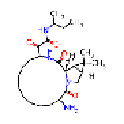 CCC(C)NC(=O)C(=O)[C@@H]1CCCCCCCC[C@H](N)C(=O)N2C[C@H]3[C@@H]([C@H]2C(=O)N1)C3(C)C